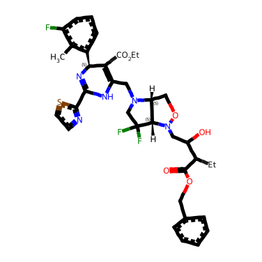 CCOC(=O)C1=C(CN2CC(F)(F)[C@@H]3[C@H]2CON3CC(O)C(CC)C(=O)OCc2ccccc2)NC(c2nccs2)=N[C@H]1c1cccc(F)c1C